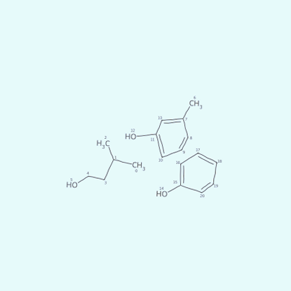 CC(C)CCO.Cc1cccc(O)c1.Oc1ccccc1